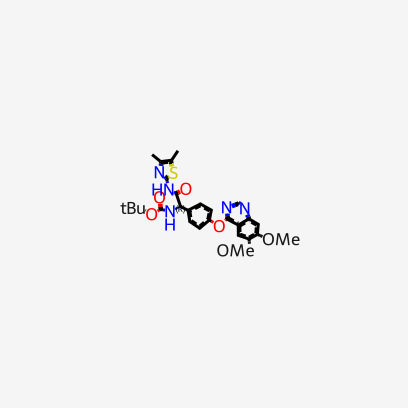 COc1cc2ncnc(Oc3ccc([C@@H](NC(=O)OC(C)(C)C)C(=O)Nc4nc(C)c(C)s4)cc3)c2cc1OC